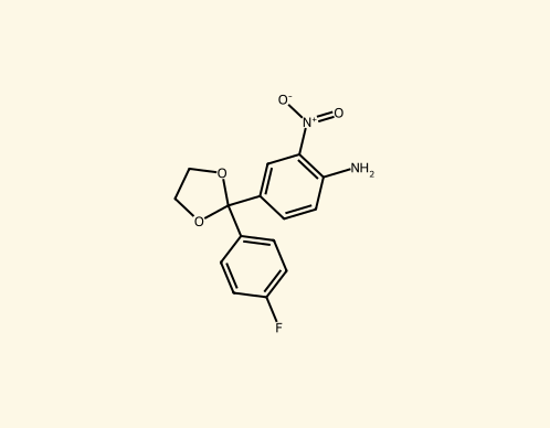 Nc1ccc(C2(c3ccc(F)cc3)OCCO2)cc1[N+](=O)[O-]